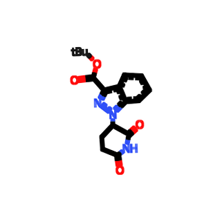 CC(C)(C)OC(=O)c1nn(C2CCC(=O)NC2=O)c2ccccc12